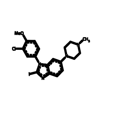 COc1ccc(-n2c(I)nc3ccc(N4CCN(C)CC4)cc32)cc1Cl